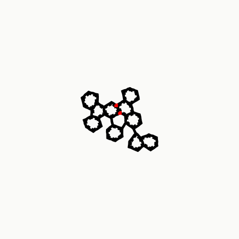 c1ccc(-c2cccc3c4ccccc4c4ccccc4c23)c(-c2c(-c3cccc4ccccc34)ccc3c2ccc2ccccc23)c1